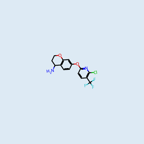 NC1CCOc2cc(Oc3ccc(C(F)(F)F)c(Cl)n3)ccc21